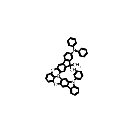 CC1(C)c2cc(N(c3ccccc3)c3ccccc3)ccc2-c2cc3c(cc21)B1c2cc4c(cc2Oc2cccc(c21)O3)c1ccccc1n4-c1ccccc1